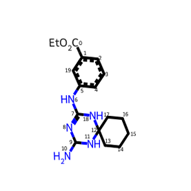 CCOC(=O)c1cccc(NC2=NC(N)NC3(CCCCC3)N2)c1